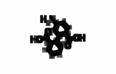 Nc1ccc(C(=O)O)c(-c2ccccc2C(=O)O)c1